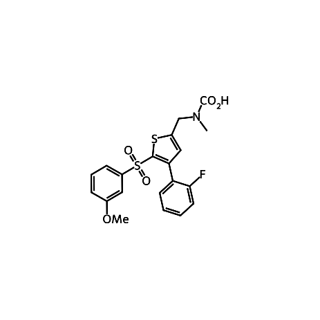 COc1cccc(S(=O)(=O)c2sc(CN(C)C(=O)O)cc2-c2ccccc2F)c1